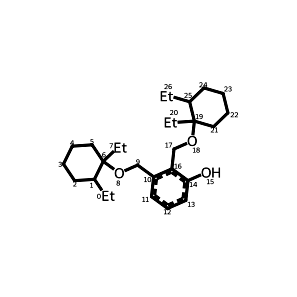 CCC1CCCCC1(CC)OCc1cccc(O)c1COC1(CC)CCCCC1CC